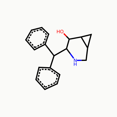 OC1C2CC2CNC1C(c1ccccc1)c1ccccc1